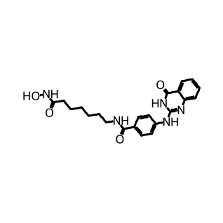 O=C(CCCCCCNC(=O)c1ccc(Nc2nc3ccccc3c(=O)[nH]2)cc1)NO